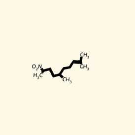 CC(C)=CCCC(C)CCC(C)[N+](=O)[O-]